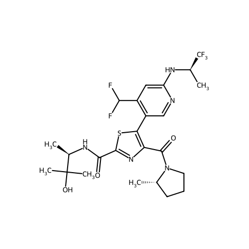 C[C@H]1CCCN1C(=O)c1nc(C(=O)N[C@H](C)C(C)(C)O)sc1-c1cnc(N[C@H](C)C(F)(F)F)cc1C(F)F